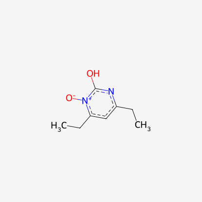 CCc1cc(CC)[n+]([O-])c(O)n1